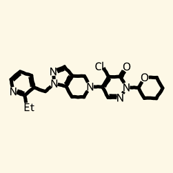 CCc1ncccc1Cn1ncc2c1CCN(c1cnn(C3CCCCO3)c(=O)c1Cl)C2